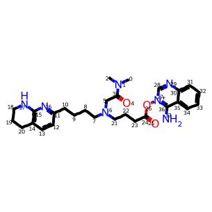 CN(C)C(=O)CN(CCCCc1ccc2c(n1)NCCC2)CCCC(=O)O[n+]1cnc2ccccc2c1N